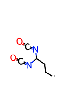 [CH2]CCC(N=C=O)N=C=O